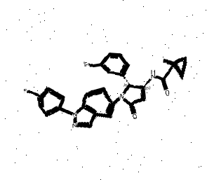 CC1(C(=O)N[C@H]2CC(=O)N(c3ccc4c(cnn4-c4ccc(F)cc4)c3)[C@@H]2c2cccc(F)c2)CC1